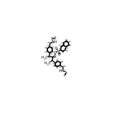 CC(C(=NOS(=O)(=O)c1ccc2ccccc2c1)C(C)c1ccc(CNSF)cc1)c1ccc(CNSF)cc1